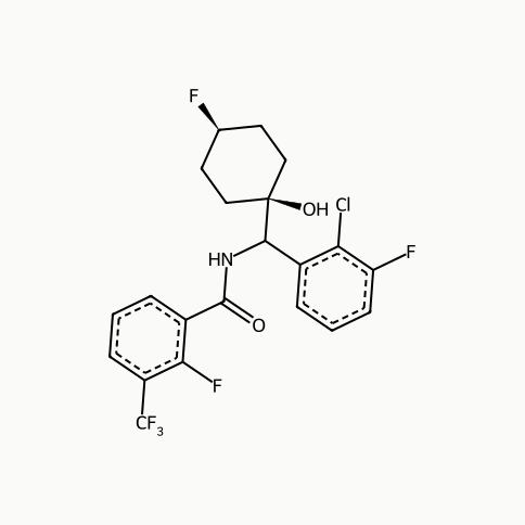 O=C(NC(c1cccc(F)c1Cl)[C@]1(O)CC[C@@H](F)CC1)c1cccc(C(F)(F)F)c1F